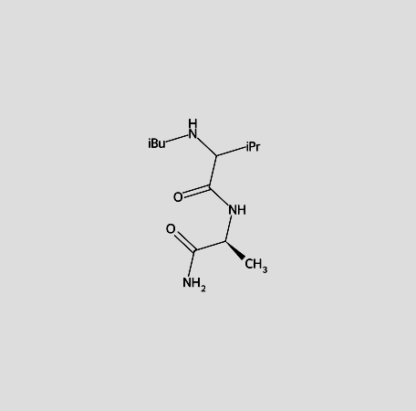 CCC(C)NC(C(=O)N[C@@H](C)C(N)=O)C(C)C